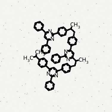 CC(C)c1ccc(-c2cc(-c3ccc(CC(C)c4cc(-c5ccc(CC(C)c6ccc(-c7nc(-c8ccccc8)cc(-c8ccccc8)n7)cc6)cc5)nc(-c5ccccc5)n4)cc3)nc(-c3ccccc3)n2)cc1